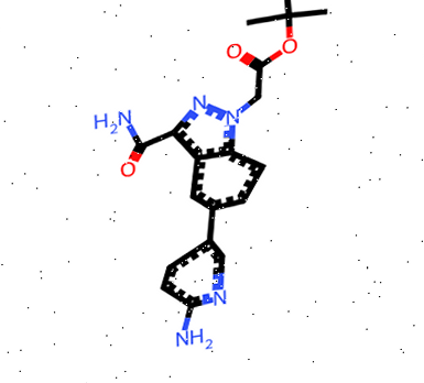 CC(C)(C)OC(=O)Cn1nc(C(N)=O)c2cc(-c3ccc(N)nc3)ccc21